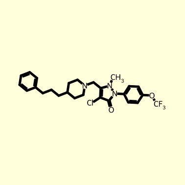 Cn1c(CN2CCC(CCCc3ccccc3)CC2)c(Cl)c(=O)n1-c1ccc(OC(F)(F)F)cc1